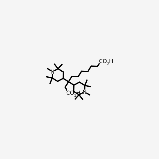 CN1C(C)(C)CC(C(CCCCCCC(=O)O)(CC(=O)O)C2CC(C)(C)N(C)C(C)(C)C2)CC1(C)C